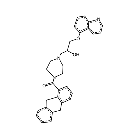 O=C(c1cccc2c1Cc1ccccc1C2)N1CCN(CC(O)COc2cccc3ncccc23)CC1